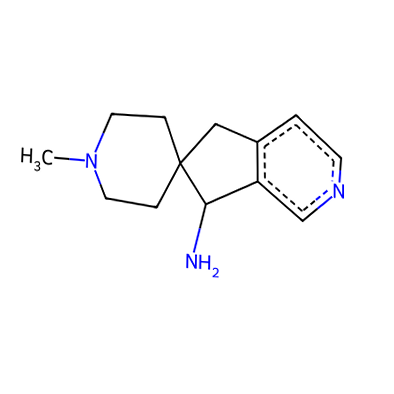 CN1CCC2(CC1)Cc1ccncc1C2N